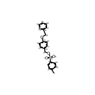 Cc1ccc(S(=O)(=O)OCc2ccc(OCc3ccccn3)cc2)cc1